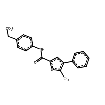 O=C(O)Cc1ccc(NC(=O)c2cc(-c3ccccc3)c(C(F)(F)F)s2)cc1